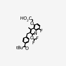 Cc1c(Cc2ccc(C(=O)C(C)(C)C)cc2)c(OC(F)F)nc2c(F)ccc(OCC(=O)O)c12